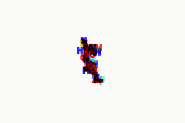 Cc1ncsc1-c1ccc([C@H](CC(=O)NCCCCCC(=O)N2CCN(CCC(CSc3ccccc3)Nc3ccc(S(=O)(=O)NC(=O)c4ccc(N5CCN(CC6=C(C78CC(C(F)F)(C7)C8)CC(C)(C)CC6)CC5)cc4)cc3S(=O)(=O)C(F)(F)F)CC2)NC(=O)[C@@H]2C[C@@H](O)CN2C(=O)C(NC(=O)C2(F)CC2)C(C)(C)C)cc1